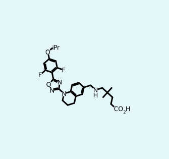 CC(C)Oc1cc(F)c(-c2nc(N3CCCc4cc(CNCC(C)(C)CCC(=O)O)ccc43)no2)c(F)c1